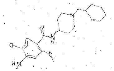 COc1cc(N)c(Cl)cc1C(=O)NC1CCN(CC2C=CCCC2)CC1